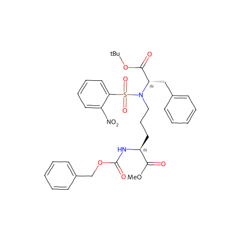 COC(=O)[C@H](CCCN([C@@H](Cc1ccccc1)C(=O)OC(C)(C)C)S(=O)(=O)c1ccccc1[N+](=O)[O-])NC(=O)OCc1ccccc1